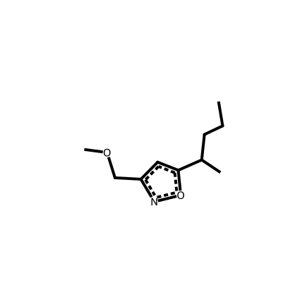 CCCC(C)c1cc(COC)no1